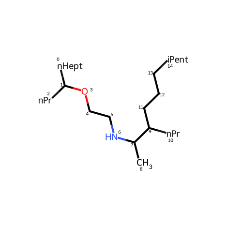 CCCCCCCC(CCC)OCCNC(C)C(CCC)CCCC(C)CCC